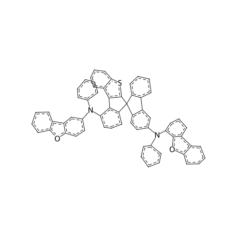 c1ccc(N(c2ccc3oc4ccccc4c3c2)c2cccc3c2-c2c(sc4ccccc24)C32c3ccccc3-c3cc(N(c4ccccc4)c4cccc5c4oc4ccccc45)ccc32)cc1